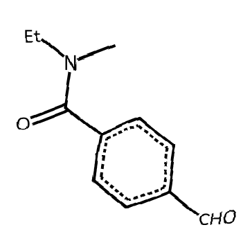 CCN(C)C(=O)c1ccc(C=O)cc1